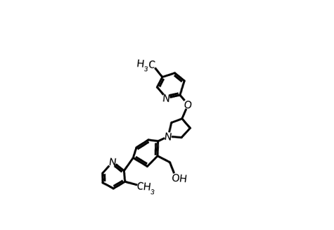 Cc1ccc(OC2CCN(c3ccc(-c4ncccc4C)cc3CO)C2)nc1